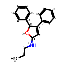 CCCNC1C=C(c2ccccc2)C(c2ccccc2)O1